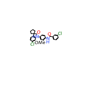 COc1cc(NC(=O)C2(c3ccc(Cl)cc3)CCCC2)ccc1NC(=O)c1cccc(Cl)c1